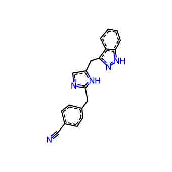 N#Cc1ccc(Cc2ncc(Cc3n[nH]c4ccccc34)[nH]2)cc1